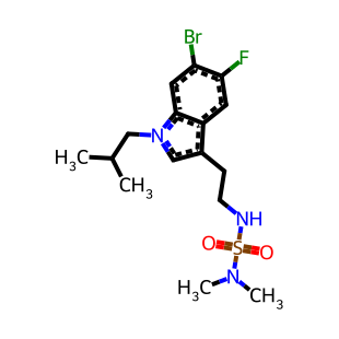 CC(C)Cn1cc(CCNS(=O)(=O)N(C)C)c2cc(F)c(Br)cc21